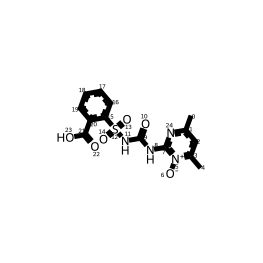 Cc1cc(C)[n+]([O-])c(NC(=O)NS(=O)(=O)c2ccccc2C(=O)O)n1